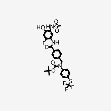 CC(C)(C)OC(=O)N(Cc1ccc(C(=O)Nc2cc(NS(C)(=O)=O)c(O)cc2F)cc1)c1ccc(SC(F)(F)F)cc1